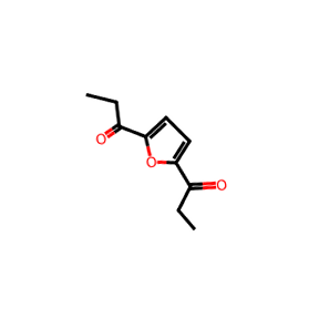 CCC(=O)c1ccc(C(=O)CC)o1